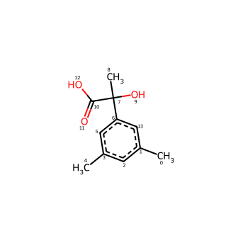 Cc1cc(C)cc(C(C)(O)C(=O)O)c1